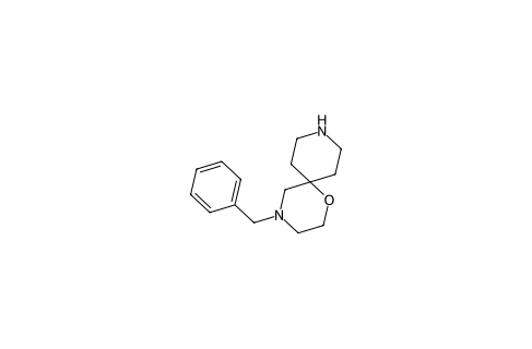 c1ccc(CN2CCOC3(CCNCC3)C2)cc1